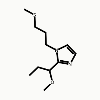 CCC(OC)c1nccn1CCCSC